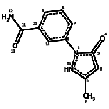 Cc1cc(=O)n(-c2cccc(C(N)=O)c2)[nH]1